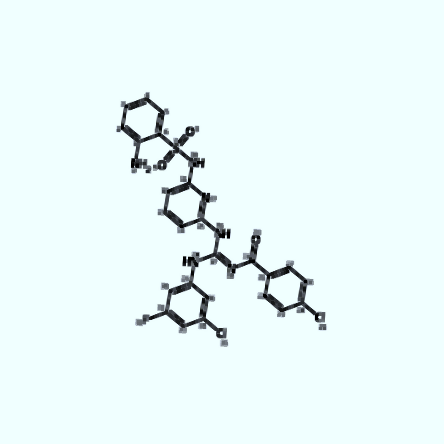 Nc1ccccc1S(=O)(=O)Nc1cccc(N/C(=N\C(=O)c2ccc(Cl)cc2)Nc2cc(F)cc(Cl)c2)n1